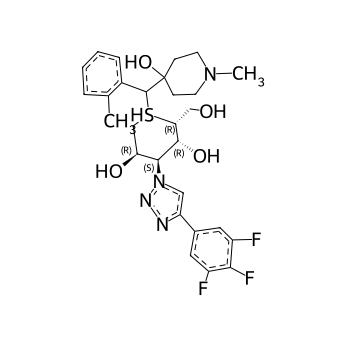 Cc1ccccc1C([SH]1C[C@H](O)[C@H](n2cc(-c3cc(F)c(F)c(F)c3)nn2)[C@@H](O)[C@H]1CO)C1(O)CCN(C)CC1